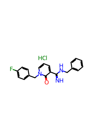 Cl.N=C(NCc1ccccc1)c1cccn(Cc2ccc(F)cc2)c1=O